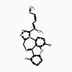 C=N/C=C\C=C(/C)c1nnc2n1-c1ccc(Br)c(Cl)c1C(c1c(F)cccc1F)=NC2